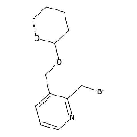 BrCc1ncccc1COC1CCCCO1